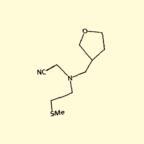 CSCCN(CC#N)CC1CCOC1